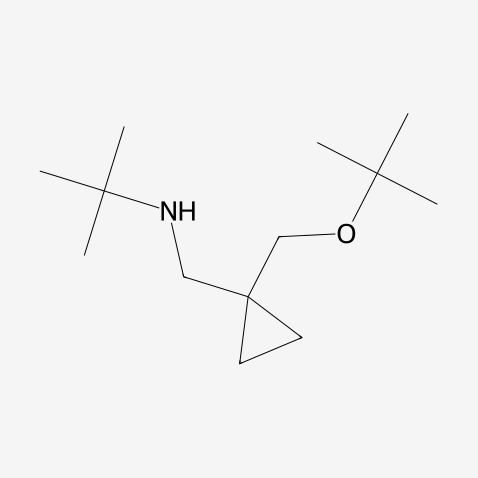 CC(C)(C)NCC1(COC(C)(C)C)CC1